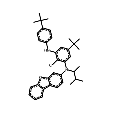 CC(C)C(C)N(c1ccc2c(c1)oc1ccccc12)c1cc(C(C)(C)C)cc(Nc2ccc(C(C)(C)C)cc2)c1Cl